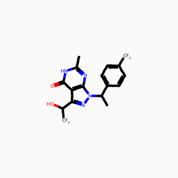 Cc1nc2c(c(C(O)C(F)(F)F)nn2C(C)c2ccc(C(F)(F)F)cc2)c(=O)[nH]1